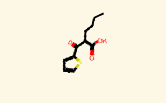 CCCCC(C(=O)O)C(=O)c1cccs1